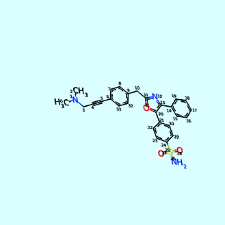 CN(C)CC#Cc1ccc(Cc2nc(-c3ccccc3)c(-c3ccc(S(N)(=O)=O)cc3)o2)cc1